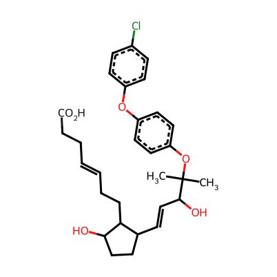 CC(C)(Oc1ccc(Oc2ccc(Cl)cc2)cc1)C(O)C=CC1CCC(O)C1CCC=CCCC(=O)O